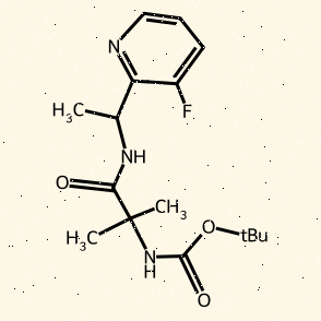 CC(NC(=O)C(C)(C)NC(=O)OC(C)(C)C)c1ncccc1F